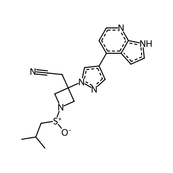 CC(C)C[S+]([O-])N1CC(CC#N)(n2cc(-c3ccnc4[nH]ccc34)cn2)C1